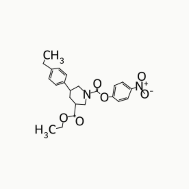 CCOC(=O)C1CC(c2ccc(CC)cc2)CN(C(=O)Oc2ccc([N+](=O)[O-])cc2)C1